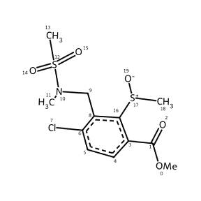 COC(=O)c1ccc(Cl)c(CN(C)S(C)(=O)=O)c1[S+](C)[O-]